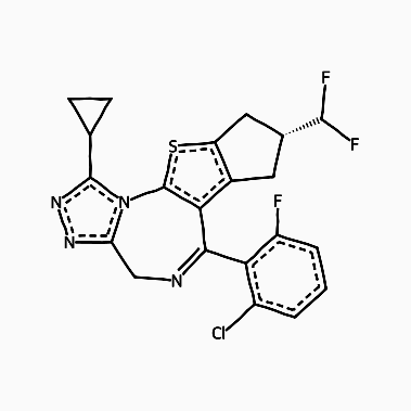 Fc1cccc(Cl)c1C1=NCc2nnc(C3CC3)n2-c2sc3c(c21)C[C@@H](C(F)F)C3